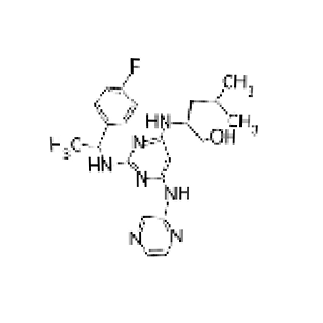 CC(C)C[C@@H](CO)Nc1cc(Nc2cnccn2)nc(N[C@@H](C)c2ccc(F)cc2)n1